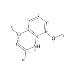 COc1cccc(OC)c1NC(C)=O